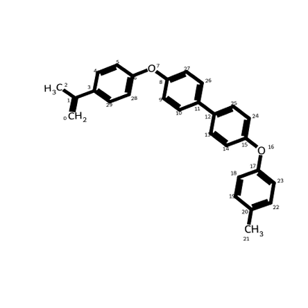 C=C(C)c1ccc(Oc2ccc(-c3ccc(Oc4ccc(C)cc4)cc3)cc2)cc1